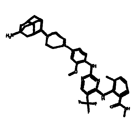 CNC(=O)c1cccc(C)c1Nc1nc(Nc2ccc(N3CCN(C4C5CC6CC4CC(N)(C6)C5)CC3)cc2OC)ncc1C(F)(F)F